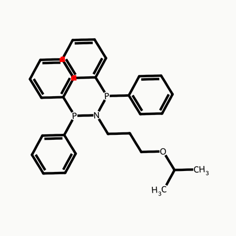 CC(C)OCCCN(P(c1ccccc1)c1ccccc1)P(c1ccccc1)c1ccccc1